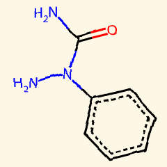 NC(=O)N(N)c1ccccc1